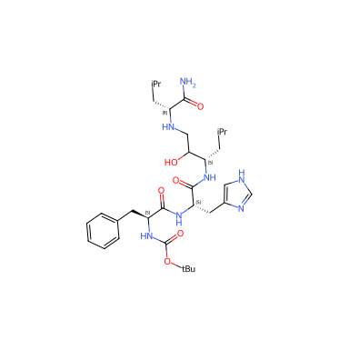 CC(C)C[C@H](NC(=O)[C@H](Cc1c[nH]cn1)NC(=O)[C@H](Cc1ccccc1)NC(=O)OC(C)(C)C)C(O)CN[C@H](CC(C)C)C(N)=O